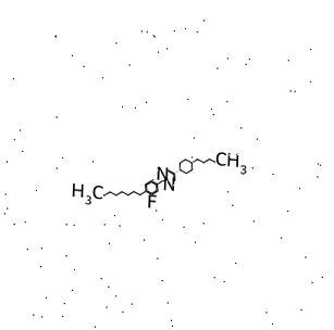 CCCCCCCCc1ccc(-c2ncc([C@H]3CC[C@H](CCCCC)CC3)cn2)cc1F